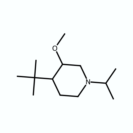 COC1CN(C(C)C)CCC1C(C)(C)C